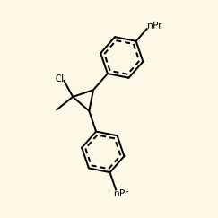 CCCc1ccc(C2C(c3ccc(CCC)cc3)C2(C)Cl)cc1